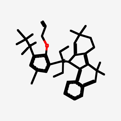 C=CCOc1c([Si](CC)(CC)C2C3=CC(C)(C)CCC3=C3C2=c2ccccc2=CC3(C)C)cc(C)cc1[Si](C)(C)C(C)(C)C